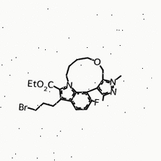 CCOC(=O)c1c(CCCBr)c2ccc(F)c3c2n1CCCCOCc1c-3c(C)nn1C